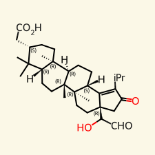 CC(C)C1=C2[C@H]3CC[C@@H]4[C@]5(C)CC[C@@H](CC(=O)O)C(C)(C)[C@H]5CC[C@@]4(C)[C@]3(C)CC[C@@]2(C(O)C=O)CC1=O